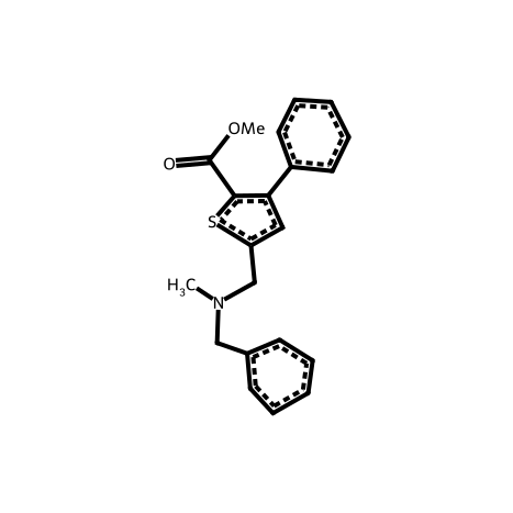 COC(=O)c1sc(CN(C)Cc2ccccc2)cc1-c1ccccc1